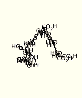 CCCC(=O)OCN(C(=O)[C@@H](NC(=O)[C@H]1CCCCN1C)C(C)CC)[C@H](C[C@@H](O)c1nc(C(=O)N[C@@H](Cc2ccc(O)cc2)C[C@H](C)C(=O)NNC(=O)OCCSSCCNC(=O)[C@@H](CCC(=O)O)NC(=O)[C@@H](C)NC(=O)Cc2ccc(CNC(=O)NCCCCCNC(=O)N[C@@H](CCC(=O)O)C(=O)O)cc2)cs1)C(C)C